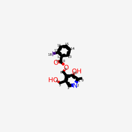 Cc1ncc(CO)c(COC(=O)c2ccccc2I)c1O